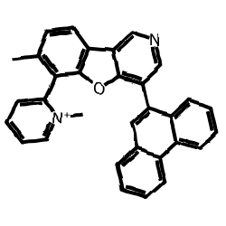 Cc1ccc2c(oc3c(-c4cc5ccccc5c5ccccc45)cncc32)c1-c1cccc[n+]1C